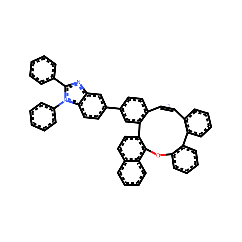 C1=C\c2ccc(-c3ccc4c(c3)nc(-c3ccccc3)n4-c3ccccc3)cc2-c2ccc3ccccc3c2Oc2ccccc2-c2ccccc2/1